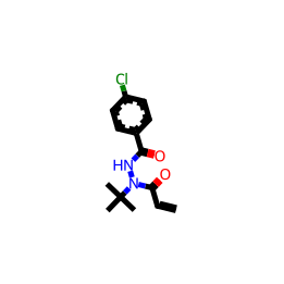 C=CC(=O)N(NC(=O)c1ccc(Cl)cc1)C(C)(C)C